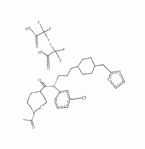 CC(=O)N1CCC(C(=O)N(CCCN2CCC(Cc3nccs3)CC2)c2cccc(Cl)c2)CC1.O=C(O)C(F)(F)F.O=C(O)C(F)(F)F